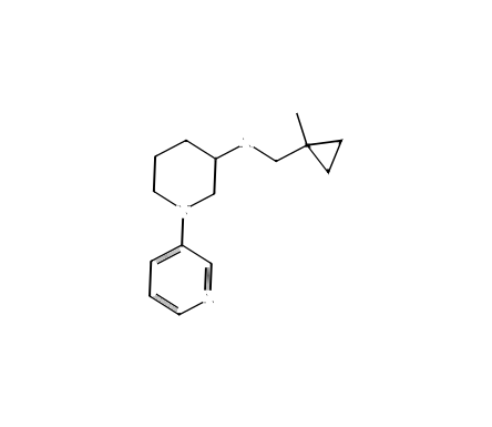 CC1(CNC2CCCN(c3cccnc3)C2)CC1